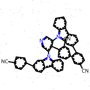 N#Cc1ccc(-c2ccc3c4ccccc4n(-c4cncc(-n5c6ccccc6c6ccc(-c7ccc(C#N)cc7)cc65)c4-c4ccccc4C#N)c3c2)cc1